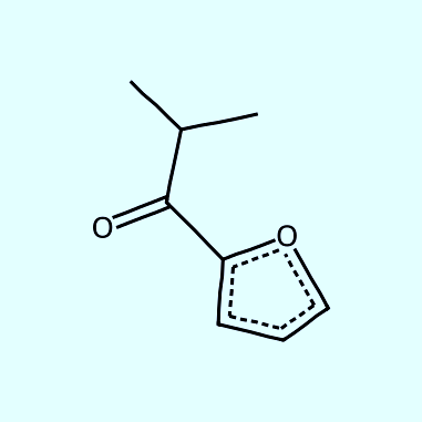 CC(C)C(=O)c1ccco1